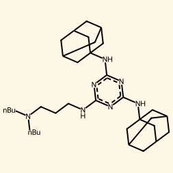 CCCCN(CCCC)CCCNc1nc(NC23CC4CC(CC(C4)C2)C3)nc(NC23CC4CC(CC(C4)C2)C3)n1